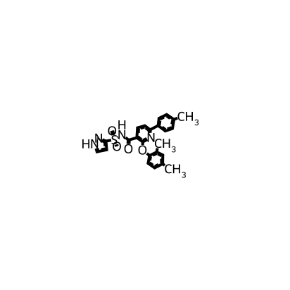 Cc1ccc(-c2ccc(C(=O)NS(=O)(=O)c3cc[nH]n3)c(Oc3ccc(C)cc3C)n2)cc1